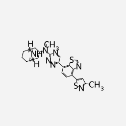 Cc1cc(-c2ccc(-c3cnc(N(C)C4C[C@H]5CCC[C@@H](C4)N5)nn3)c3scnc23)sn1